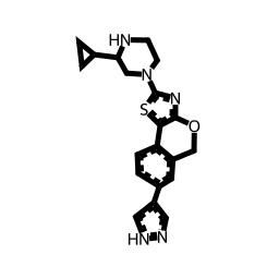 c1cc2c(cc1-c1cn[nH]c1)COc1nc(N3CCNC(C4CC4)C3)sc1-2